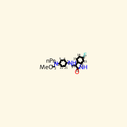 CCCN(COC)c1ccc(N/C=C2/C(=O)Nc3cc(F)ccc32)cc1